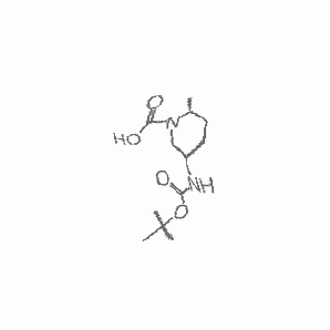 C[C@H]1CC[C@@H](NC(=O)OC(C)(C)C)CN1C(=O)O